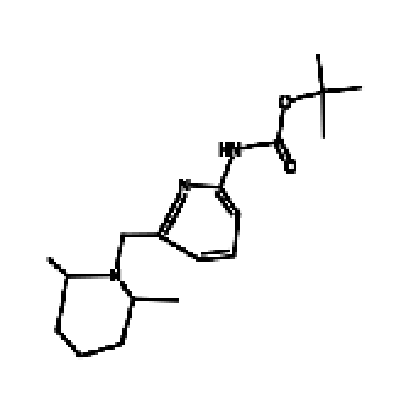 CC1CCCC(C)N1Cc1cccc(NC(=O)OC(C)(C)C)n1